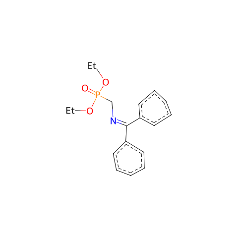 CCOP(=O)(CN=C(c1ccccc1)c1ccccc1)OCC